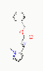 Cn1cccc1/C=C/C(=O)OCc1ccccc1